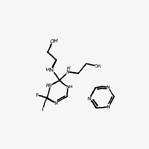 OCCNC1(NCCO)NC=NC(F)(F)N1.c1ncncn1